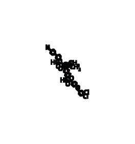 CN(C)C(=O)N1Cc2cc3c(cc2C[C@H]1C(=O)N[C@@H](Cc1ccc(-c2ccc(C#N)cc2)cc1)C(=O)O)NC(=O)C(c1ccc(OCc2ccc(Cl)c(Cl)c2)cc1)O3